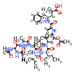 CC[C@H](C)[C@H](NC(=O)[C@H](C(C)C)N(C)C(=O)[C@H](C)NC(=O)[C@H](C)NC(=O)C(NC(C)=O)NC(C)=O)C(=O)N(C)[C@H](C[C@@H](OC(C)=O)c1nc(C(=O)N[C@@H](Cc2ccccc2)CC(C)C(=O)O)cs1)C(C)C